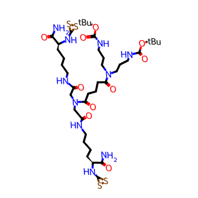 CC(C)(C)OC(=O)NCCCN(CCCNC(=O)OC(C)(C)C)C(=O)CCCC(=O)N(CC(=O)NCCCC[C@H](NC1SS1)C(N)=O)CC(=O)NCCCC[C@H](NC1SS1)C(N)=O